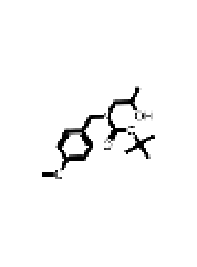 COc1ccc(CN(CC(C)O)C(=O)OC(C)(C)C)cc1